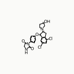 O=C1CNC(=O)N1c1ccc(O[C@H]2c3cc(Cl)cc(Cl)c3C[C@H]2N2CC[C@@H](O)C2)cc1